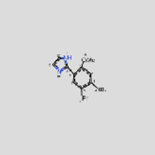 COc1cc(C(C)(C)C)c(C(C)C)cc1-c1ncc[nH]1